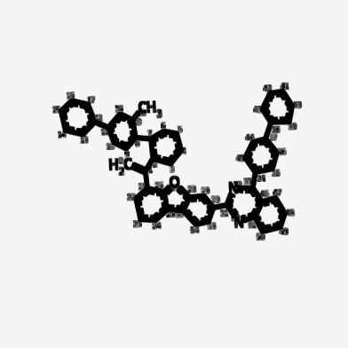 C=C(c1ccccc1-c1ccc(-c2ccccc2)cc1C)c1cccc2c1oc1cc(-c3nc(-c4ccc(-c5ccccc5)cc4)c4ccccc4n3)ccc12